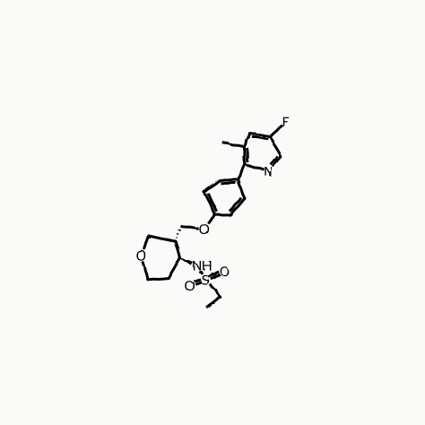 CCS(=O)(=O)N[C@H]1CCOC[C@@H]1COc1ccc(-c2ncc(F)cc2C)cc1